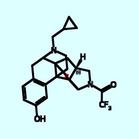 O=C(N1C[C@H]2CC34CCC1C2C31CCN(CC2CC2)C4Cc2ccc(O)cc21)C(F)(F)F